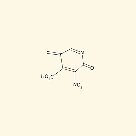 C=C1C=NC(=O)C([N+](=O)[O-])=C1C(=O)O